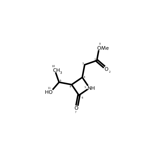 COC(=O)CC1NC(=O)C1C(C)O